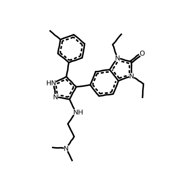 CCn1c(=O)n(CC)c2cc(-c3c(NCCN(C)C)n[nH]c3-c3cccc(C)c3)ccc21